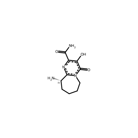 NC(=O)c1nc2n(c(=O)c1O)CCCC[C@@H]2N